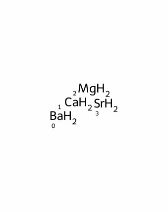 [BaH2].[CaH2].[MgH2].[SrH2]